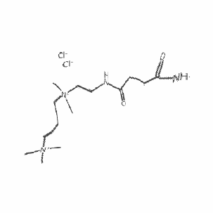 C[N+](C)(C)CCC[N+](C)(C)CCNC(=O)C[CH]C([NH])=O.[Cl-].[Cl-]